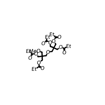 CCC(=O)OCC(COC)(COCC(COC(=O)CC)(COC(=O)CC)COC(=O)CC)COC(=O)CC